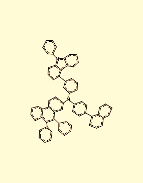 c1ccc(-c2c(-c3ccccc3)c3cc(N(c4ccc(-c5cccc6ccccc56)cc4)c4cccc(-c5cccc6c5c5ccccc5n6-c5ccccc5)c4)ccc3c3ccccc23)cc1